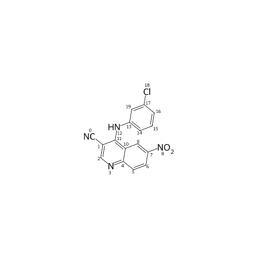 N#Cc1cnc2ccc([N+](=O)[O-])cc2c1Nc1cccc(Cl)c1